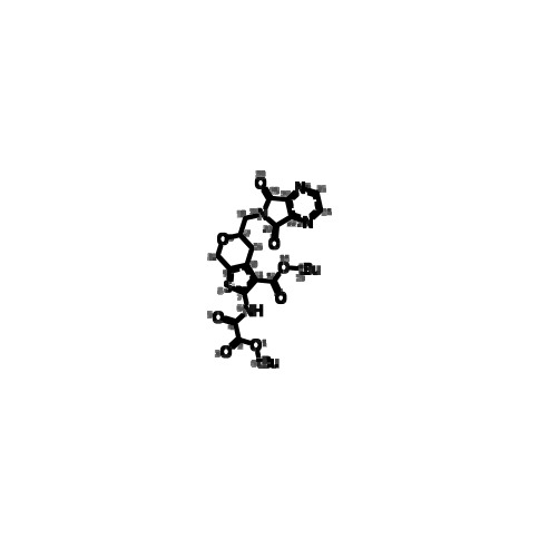 CC(C)(C)OC(=O)C(=O)Nc1sc2c(c1C(=O)OC(C)(C)C)CC(CN1C(=O)c3nccnc3C1=O)OC2